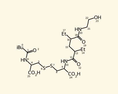 CCC(C)C(=O)NC(CSSCC(NC(=O)C(CC)CC(CC)C(=O)NCCO)C(=O)O)C(=O)O